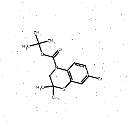 CC(C)(C)OC(=O)N1CC(C)(C)Sc2cc(Br)ccc21